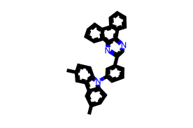 Cc1ccc2c(c1)c1cc(C)ccc1n2-c1cccc(-c2cnc3c4ccccc4c4ccccc4c3n2)c1